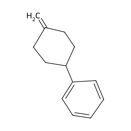 C=C1CCC(c2ccccc2)CC1